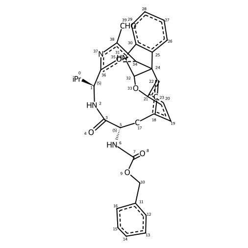 CC(C)[C@@H]1NC(=O)[C@@H](NC(=O)OCc2ccccc2)Cc2ccc3c(c2)C2(c4ccccc4NC2O3)c2oc1nc2C=O